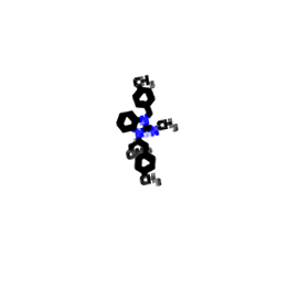 C/N=c1\n(Cc2ccc(C)cc2)c2ccccc2n1[C@H](COC)Cc1ccc(C)cc1